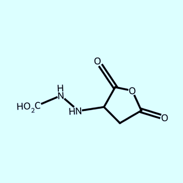 O=C(O)NNC1CC(=O)OC1=O